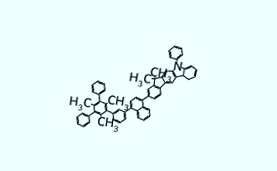 Cc1c(-c2ccccc2)c(C)c(-c2cccc(-c3ccc(-c4ccc5c(c4)C(C)(C)c4cc6c(cc4-5)C4CC=CC=C4N6c4ccccc4)c4ccccc34)c2)c(C)c1-c1ccccc1